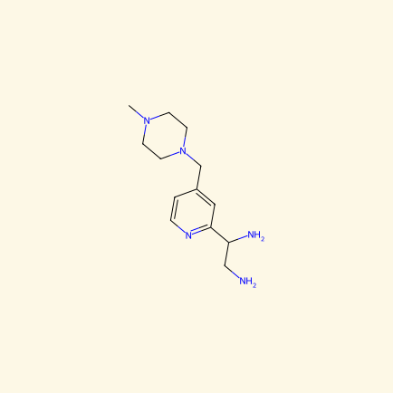 CN1CCN(Cc2ccnc(C(N)CN)c2)CC1